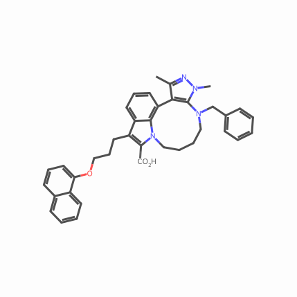 Cc1nn(C)c2c1-c1cccc3c(CCCOc4cccc5ccccc45)c(C(=O)O)n(c13)CCCCN2Cc1ccccc1